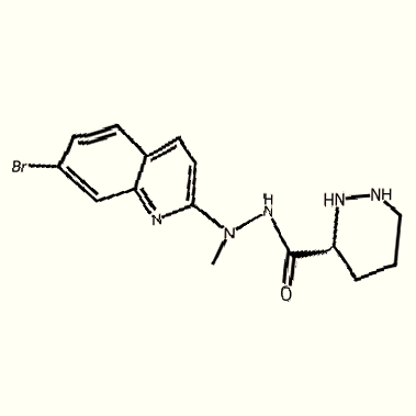 CN(NC(=O)[C@@H]1CCCNN1)c1ccc2ccc(Br)cc2n1